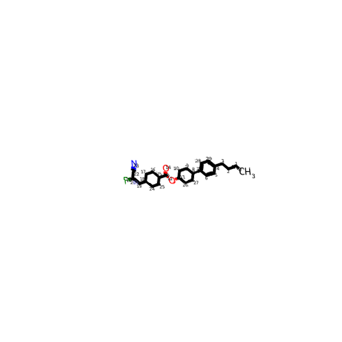 CCCCc1ccc(C2CCC(OC(=O)C3CCC(/C=C(/F)C#N)CC3)CC2)cc1